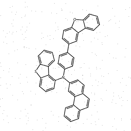 c1ccc2c(c1)ccc1ccc(N(c3ccc(-c4ccc5oc6ccccc6c5c4)cc3)c3cccc4sc5ccccc5c34)cc12